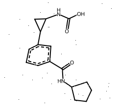 O=C(O)NC1CC1c1cccc(C(=O)NC2CCCC2)c1